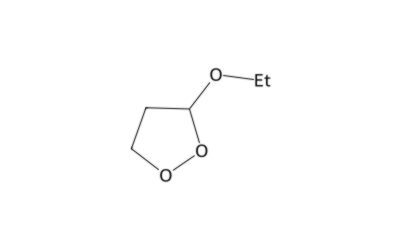 CCOC1CCOO1